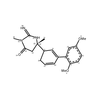 COc1ccc(OC)c(C2=CC([C@]3(C)CC(=O)N(C)C(=N)N3)CC=C2)c1